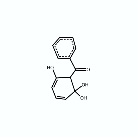 O=C(c1ccccc1)C1C(O)=CC=CC1(O)O